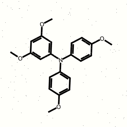 COc1ccc(N(c2ccc(OC)cc2)c2cc(OC)cc(OC)c2)cc1